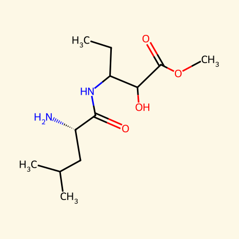 CCC(NC(=O)[C@@H](N)CC(C)C)C(O)C(=O)OC